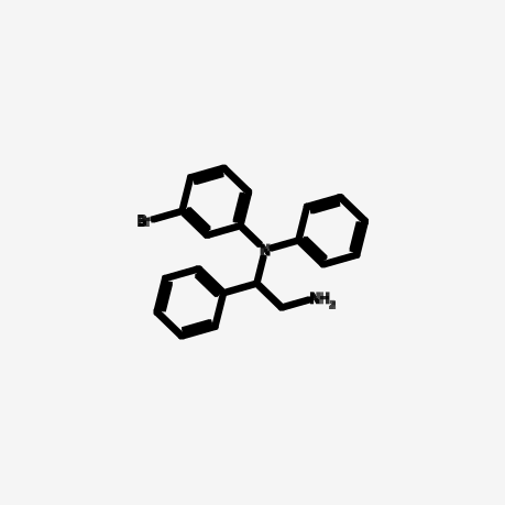 NCC(c1ccccc1)N(c1ccccc1)c1cccc(Br)c1